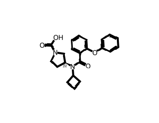 O=C(O)N1CC[C@H](N(C(=O)c2ccccc2Oc2ccccc2)C2CCC2)C1